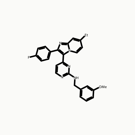 CCc1ccn2c(-c3ccnc(NCc4cccc(OC)c4)n3)c(-c3ccc(F)cc3)nc2c1